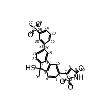 CC(S)(c1ccc(C2=CC(=O)NS2(=O)=O)cc1)c1ccc(-c2cccc(S(C)(=O)=O)c2)cc1